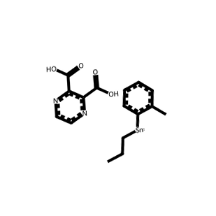 CC[CH2][Sn][c]1ccccc1C.O=C(O)c1nccnc1C(=O)O